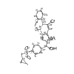 O=S(=O)(CC1CC1)c1ccc(C(O)c2nc3c([nH]2)C=C(Cl)C(c2ccccc2F)C3Cl)cc1